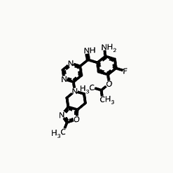 Cc1nc2c(o1)CCN(c1cc(C(=N)c3cc(OC(C)C)c(F)cc3N)ncn1)C2